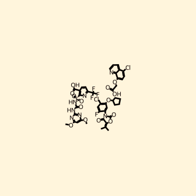 CC(C)=C1OC(=O)N(c2cc(OC3CCCC3)c(Cl)cc2F)C1=O.COc1cc(OC)nc(NC(=O)NS(=O)(=O)c2nc(C(F)(F)F)ccc2C(=O)O)n1.O=C(O)COc1ccc(Cl)c2cccnc12